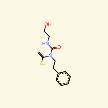 C=C(S)N(CCc1ccccc1)C(=O)NCCO